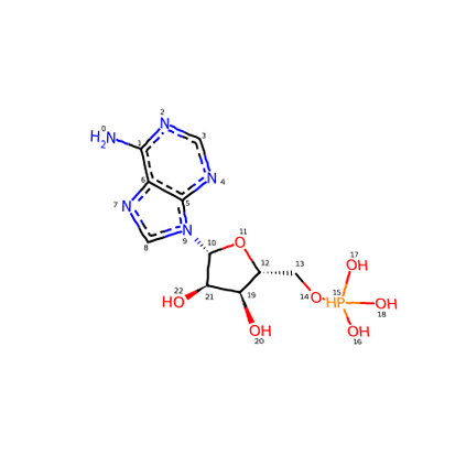 Nc1ncnc2c1ncn2[C@@H]1O[C@H](CO[PH](O)(O)O)[C@@H](O)[C@H]1O